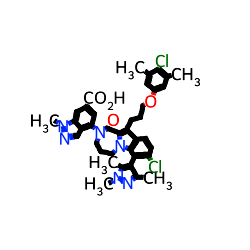 Cc1cc(OCCCc2c3n(c4c(-c5c(C)nn(C)c5C)c(Cl)ccc24)CCCN(c2cc(C(=O)O)cc4c2cnn4C)C3=O)cc(C)c1Cl